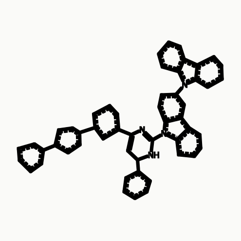 C1=C(c2cccc(-c3ccc(-c4ccccc4)cc3)c2)N=C(n2c3ccccc3c3cc(-n4c5ccccc5c5ccccc54)ccc32)NC1c1ccccc1